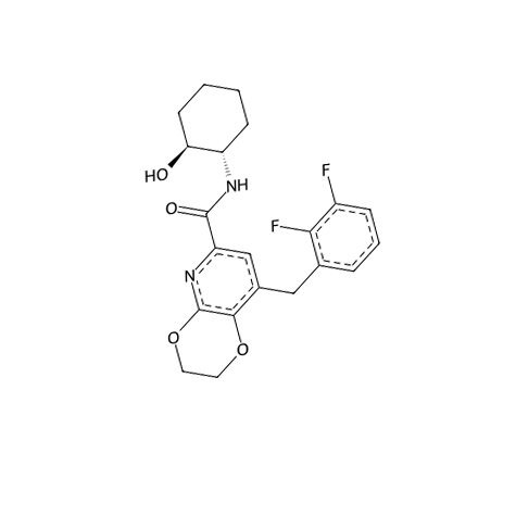 O=C(N[C@H]1CCCC[C@@H]1O)c1cc(Cc2cccc(F)c2F)c2c(n1)OCCO2